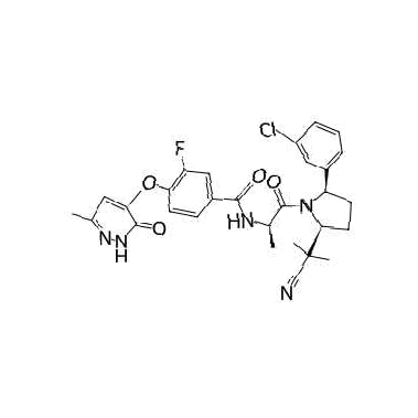 Cc1cc(Oc2ccc(C(=O)N[C@H](C)C(=O)N3[C@@H](c4cccc(Cl)c4)CC[C@H]3C(C)(C)C#N)cc2F)c(=O)[nH]n1